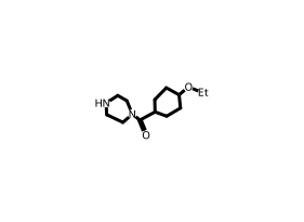 CCOC1CCC(C(=O)N2CCNCC2)CC1